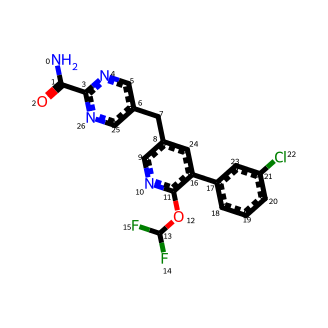 NC(=O)c1ncc(Cc2cnc(OC(F)F)c(-c3cccc(Cl)c3)c2)cn1